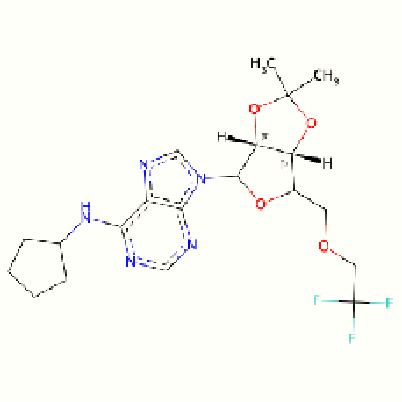 CC1(C)O[C@@H]2C(COCC(F)(F)F)OC(n3cnc4c(NC5CCCC5)ncnc43)[C@@H]2O1